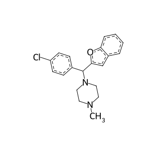 CN1CCN(C(c2ccc(Cl)cc2)c2cc3ccccc3o2)CC1